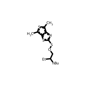 CCCCC(CC)COSc1nc2c(C)sc(C)c2s1